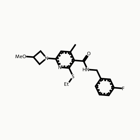 CCSc1nc(N2CC(OC)C2)cc(C)c1C(=O)NCc1cccc(F)c1